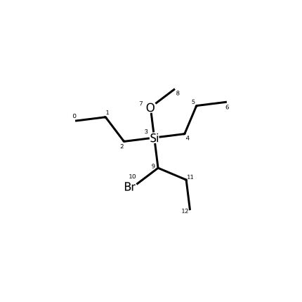 CCC[Si](CCC)(OC)C(Br)CC